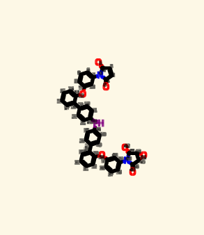 O=C1C=CC(=O)N1c1cccc(Oc2ccccc2-c2ccc(Pc3ccc(-c4ccccc4Oc4cccc(N5C(=O)C6OC6C5=O)c4)cc3)cc2)c1